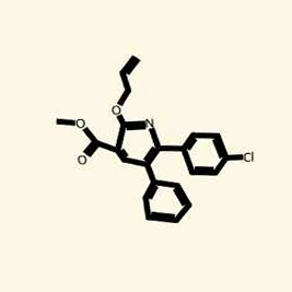 C=CCOc1nc(-c2ccc(Cl)cc2)c(-c2ccccc2)cc1C(=O)OC